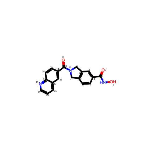 O=C(NO)c1ccc2c(c1)CN(C(=O)c1ccc3ncccc3c1)C2